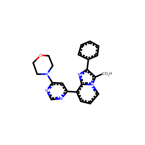 O=C(O)c1c(-c2ccccc2)nc2c(-c3cc(N4CCOCC4)ncn3)cccn12